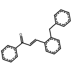 O=C(C=Cc1ccccc1Cc1ccccc1)c1ccccc1